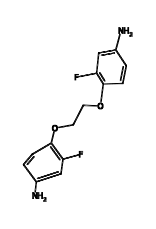 Nc1ccc(OCCOc2ccc(N)cc2F)c(F)c1